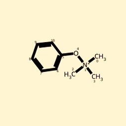 C[N+](C)(C)Oc1ccccc1